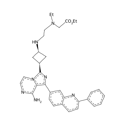 CCOC(=O)CN(CC)CCN[C@H]1C[C@@H](c2nc(-c3ccc4ccc(-c5ccccc5)nc4c3)c3c(N)nccn32)C1